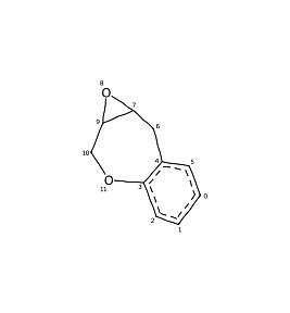 c1ccc2c(c1)CC1OC1CO2